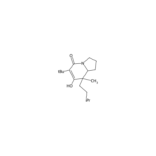 CC(C)CCC1(C)C(O)=C(C(C)(C)C)C(=O)N2CCCC21